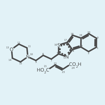 C1=CCC2=c3nc(CCCN4CCOCC4)sc3=CC2=C1.O=C(O)C=CC(=O)O